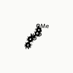 COc1ccc2c(c1)CC(c1nc3ccc(-c4ccncc4)cc3o1)CO2